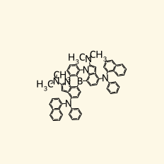 CN(C)c1cc2c(N(c3ccccc3)c3cccc4ccccc34)ccc3c2n1-c1cccc2c1B3c1ccc(N(c3ccccc3)c3cccc4ccccc34)c3cc(N(C)C)n-2c13